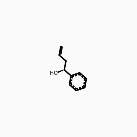 C=CC[C@H](O)c1ccccc1